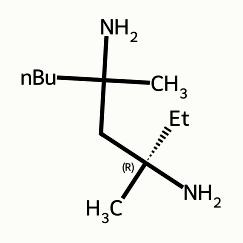 CCCCC(C)(N)C[C@](C)(N)CC